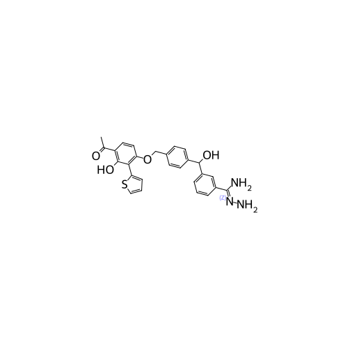 CC(=O)c1ccc(OCc2ccc(C(O)c3cccc(/C(N)=N/N)c3)cc2)c(-c2cccs2)c1O